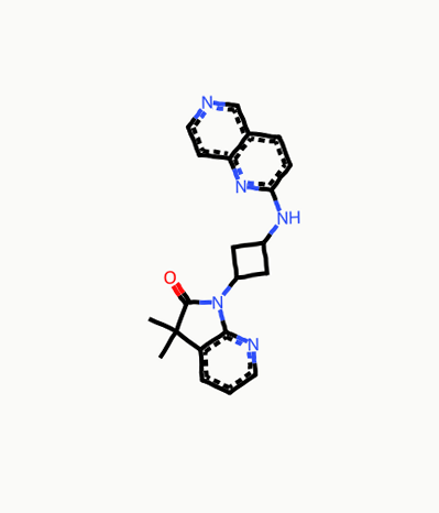 CC1(C)C(=O)N(C2CC(Nc3ccc4cnccc4n3)C2)c2ncccc21